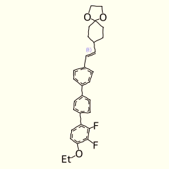 CCOc1ccc(-c2ccc(-c3ccc(/C=C/C4CCC5(CC4)OCCO5)cc3)cc2)c(F)c1F